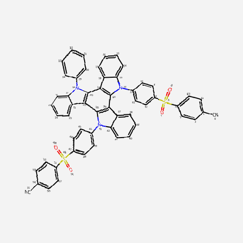 N#Cc1ccc(S(=O)(=O)c2ccc(-n3c4ccccc4c4c5c(c6ccccc6n5-c5ccccc5)c5c(c6ccccc6n5-c5ccc(S(=O)(=O)c6ccc(C#N)cc6)cc5)c43)cc2)cc1